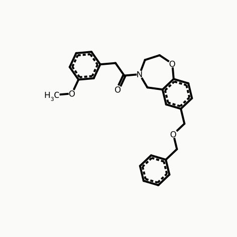 COc1cccc(CC(=O)N2CCOc3ccc(COCc4ccccc4)cc3C2)c1